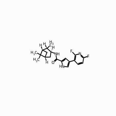 C[C@@H]1[C@@H](NC(=O)c2cc(-c3ccc(F)nc3F)c[nH]2)C[C@H]2C[C@@H]1C2(C)C